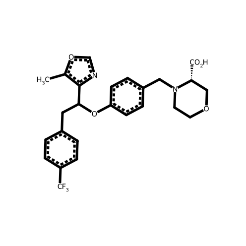 Cc1ocnc1C(Cc1ccc(C(F)(F)F)cc1)Oc1ccc(CN2CCOC[C@H]2C(=O)O)cc1